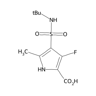 Cc1[nH]c(C(=O)O)c(F)c1S(=O)(=O)NC(C)(C)C